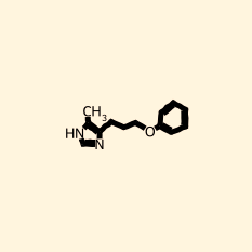 Cc1[nH]cnc1CCCOc1ccccc1